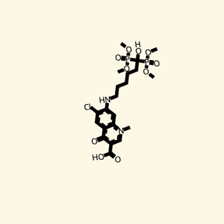 COP(=O)(OC)C(O)(CCCCCNc1cc2c(cc1Cl)c(=O)c(C(=O)O)cn2C)P(=O)(OC)OC